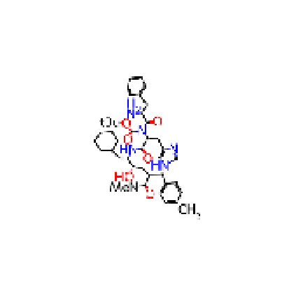 CNC(=O)[C@H](Cc1ccc(C)cc1)C[C@H](O)[C@H](CC1CCCCC1)NC(=O)[C@H](Cc1c[nH]cn1)N(C(=O)OC(C)(C)C)C(=O)[C@@H](N)Cc1ccccc1